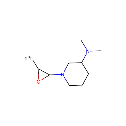 CCCC1OC1N1CCCC(N(C)C)C1